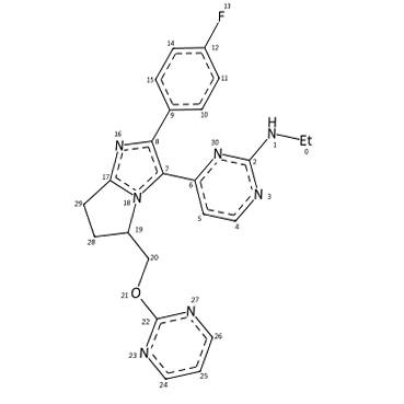 CCNc1nccc(-c2c(-c3ccc(F)cc3)nc3n2C(COc2ncccn2)CC3)n1